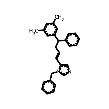 Cc1cc(C)cc(C(CC=Cc2cncn2Cc2ccccc2)c2ccccc2)c1